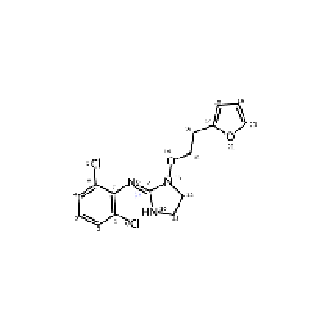 Clc1cccc(Cl)c1/N=C1\NCCN1OCCc1ccco1